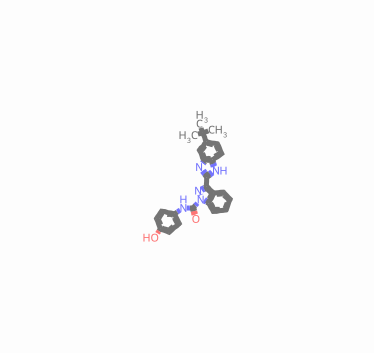 CC(C)(C)c1ccc2[nH]c(-c3nn(C(=O)Nc4ccc(O)cc4)c4ccccc34)nc2c1